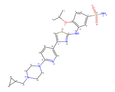 CC(C)Oc1ccc(S(N)(=O)=O)cc1Nc1nc(-c2ccc(N3CCN(CC4CC4)CC3)nc2)cs1